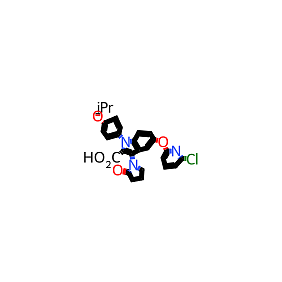 CC(C)Oc1ccc(-n2c(C(=O)O)c(N3CCCC3=O)c3cc(Oc4cccc(Cl)n4)ccc32)cc1